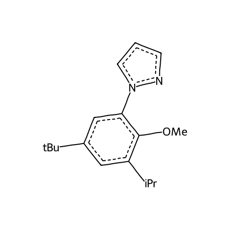 COc1c(C(C)C)cc(C(C)(C)C)cc1-n1cccn1